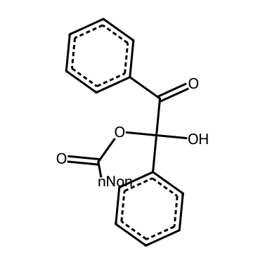 CCCCCCCCCC(=O)OC(O)(C(=O)c1ccccc1)c1ccccc1